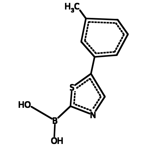 Cc1cccc(-c2cnc(B(O)O)s2)c1